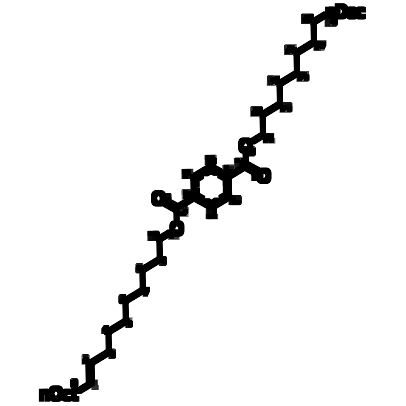 CCCCCCCCC=CCCCCCCCCOC(=O)c1ccc(C(=O)OCCCCCCCCCCCCCCCCCC)cc1